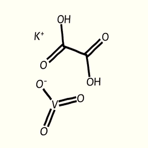 O=C(O)C(=O)O.[K+].[O]=[V](=[O])[O-]